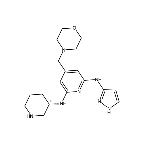 c1cc(Nc2cc(CN3CCOCC3)cc(N[C@H]3CCCNC3)n2)n[nH]1